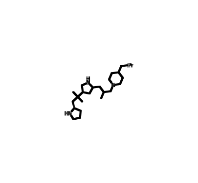 CC(C)CC1CCN(CC(C)CC2CC(C(C)(C)C[C@H]3CCCN3)CN2)CC1